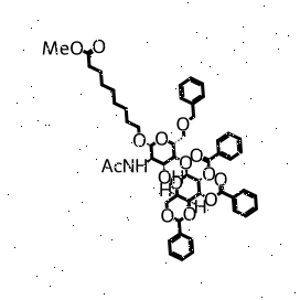 COC(=O)CCCCCCCCO[C@@H]1O[C@H](COCc2ccccc2)[C@@H](O[C@@H]2O[C@@H]3COC(c4ccccc4)O[C@@H]3[C@H](OC(=O)c3ccccc3)[C@H]2OC(=O)c2ccccc2)[C@H](O)[C@H]1NC(C)=O